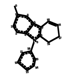 Cc1ccc2c(c1)c1c(n2-c2ccccc2)CCC=C1